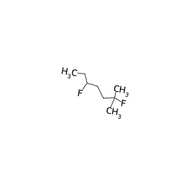 CCC(F)CCC(C)(C)F